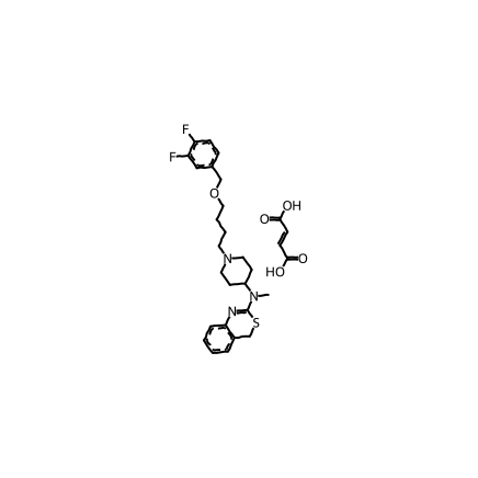 CN(C1=Nc2ccccc2CS1)C1CCN(CCCCOCc2ccc(F)c(F)c2)CC1.O=C(O)/C=C/C(=O)O